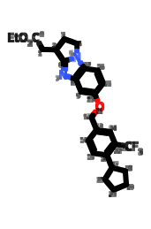 CCOC(=O)CC1CCn2c1nc1cc(OCc3ccc(C4CCCC4)c(C(F)(F)F)c3)ccc12